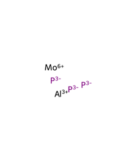 [Al+3].[Mo+6].[P-3].[P-3].[P-3]